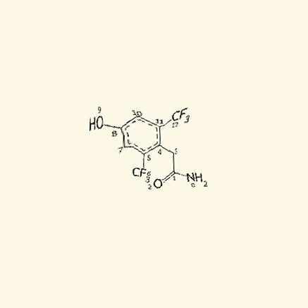 NC(=O)Cc1c(C(F)(F)F)cc(O)cc1C(F)(F)F